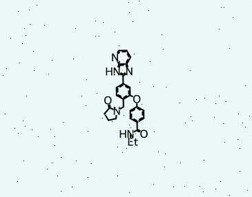 CCNC(=O)c1ccc(Oc2cc(-c3nc4cccnc4[nH]3)ccc2CN2CCCC2=O)cc1